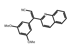 COc1cc(OC)cc(C(=CC#N)c2ccc3ccccc3n2)c1